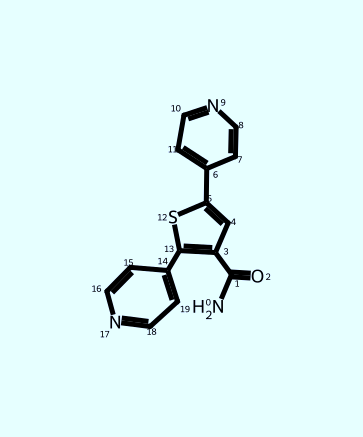 NC(=O)c1cc(-c2ccncc2)sc1-c1ccncc1